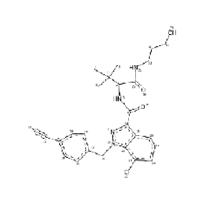 CC(C)(C)[C@H](NC(=O)c1nn(Cc2ccc(C#N)cc2)c2c(Cl)cccc12)C(=O)NCCCO